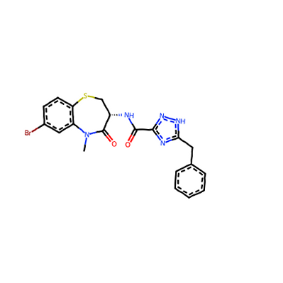 CN1C(=O)[C@@H](NC(=O)c2n[nH]c(Cc3ccccc3)n2)CSc2ccc(Br)cc21